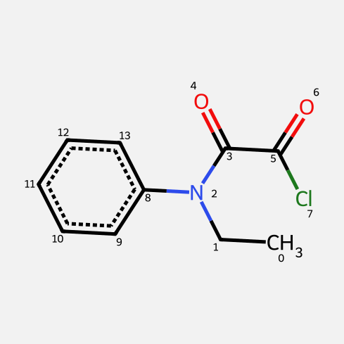 CCN(C(=O)C(=O)Cl)c1ccccc1